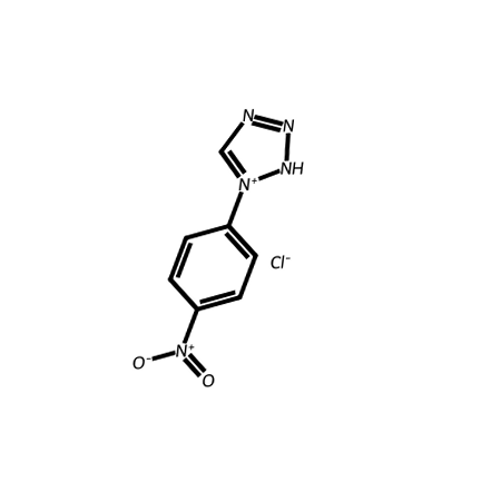 O=[N+]([O-])c1ccc(-[n+]2cnn[nH]2)cc1.[Cl-]